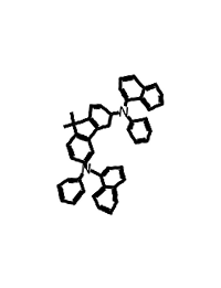 CC1(C)C2=C(CC(N(c3ccccc3)c3cccc4ccccc34)C=C2)c2cc(N(c3ccccc3)c3cccc4ccccc34)ccc21